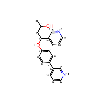 CC(O)CC(Oc1ccc(-c2cccnc2)cc1)c1cccnc1